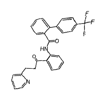 O=C(CCc1ccccn1)c1ccccc1NC(=O)c1ccccc1-c1ccc(C(F)(F)F)cc1